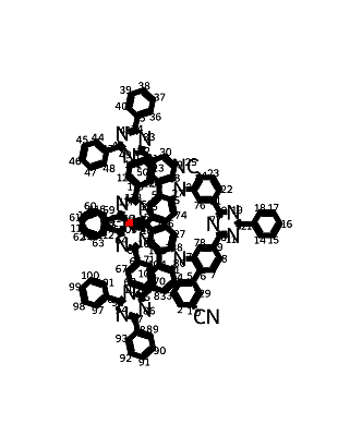 N#Cc1cccc(-c2ccc(-c3nc(-c4ccccc4)nc(-c4ccc(C#N)c(-n5c6ccc(-c7nc(-c8ccccc8)nc(-c8ccccc8)n7)cc6c6cc(-c7nc(-c8ccccc8)nc(-c8ccccc8)n7)ccc65)c4)n3)cc2-n2c3ccc(-c4nc(-c5ccccc5)nc(-c5ccccc5)n4)cc3c3cc(-c4nc(-c5ccccc5)nc(-c5ccccc5)n4)ccc32)c1